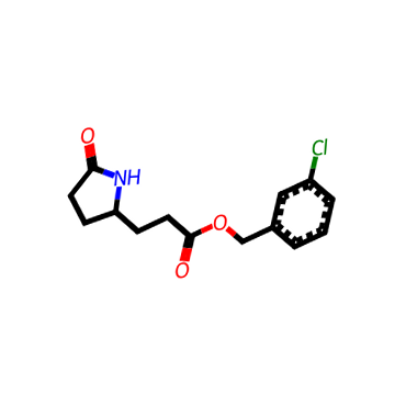 O=C1CCC(CCC(=O)OCc2cccc(Cl)c2)N1